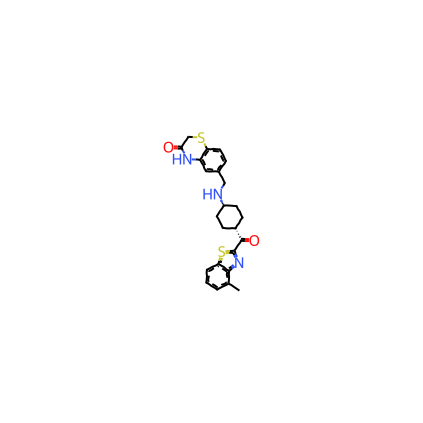 Cc1cccc2sc(C(=O)[C@H]3CC[C@H](NCc4ccc5c(c4)NC(=O)CS5)CC3)nc12